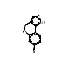 Brc1ccc2c(c1)OCc1cn[nH]c1-2